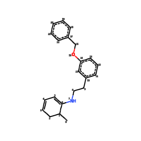 CC1CC=CC=C1NCCc1cccc(OCc2ccccc2)c1